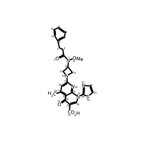 CON(C(=O)CCc1ccccc1)C1CN(c2cc(C)c3c(=O)c(C(=O)O)cn(-c4nccs4)c3n2)C1